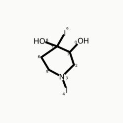 OC1CN(I)CCC1(O)I